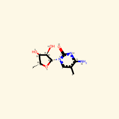 Cc1cn([C@@H]2O[C@H](C)[C@@H](O)[C@H]2O)c(=O)nc1N